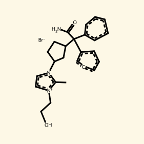 Cc1n(C2CCC(C(C(N)=O)(c3ccccc3)c3ccccc3)C2)cc[n+]1CCO.[Br-]